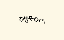 O=C(NC1CN2CCC1CC2)c1ccc(-c2ccc(C(F)(F)F)cc2)s1